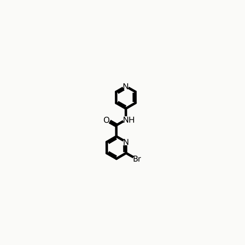 O=C(Nc1ccncc1)c1cccc(Br)n1